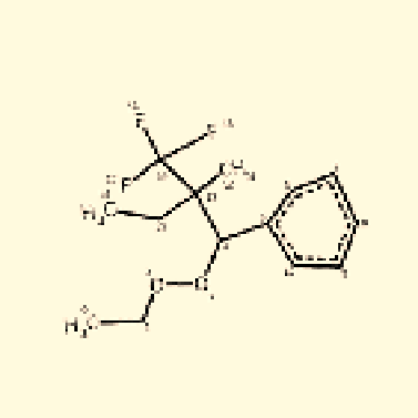 CCOOC(c1ccccc1)C(C)(CC)C(F)(F)F